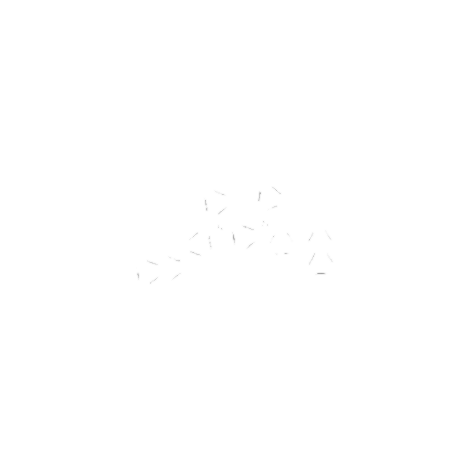 c1ccc(N(c2ccc(-c3ccc4ccccc4c3)cc2)c2ccc3c4ccc(-c5cccc6ccccc56)cc4n(-c4ccccc4)c3c2)cc1